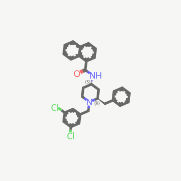 O=C(N[C@H]1CCN(Cc2cc(Cl)cc(Cl)c2)[C@H](Cc2ccccc2)C1)c1cccc2ccccc12